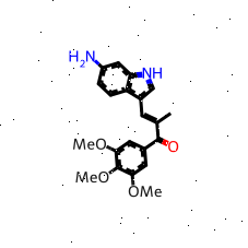 COc1cc(C(=O)/C(C)=C/c2c[nH]c3cc(N)ccc23)cc(OC)c1OC